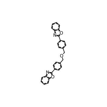 c1ccc2oc(-c3ccc(COCc4ccc(-c5nc6ccccc6o5)cc4)cc3)nc2c1